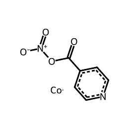 O=C(O[N+](=O)[O-])c1ccncc1.[Co]